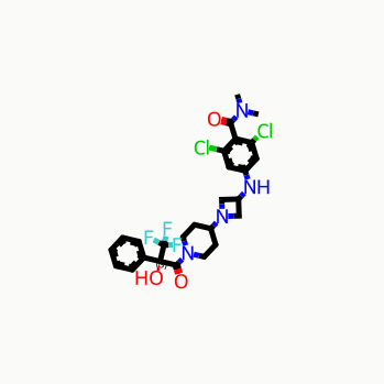 CN(C)C(=O)c1c(Cl)cc(NC2CN(C3CCN(C(=O)[C@@](O)(c4ccccc4)C(F)(F)F)CC3)C2)cc1Cl